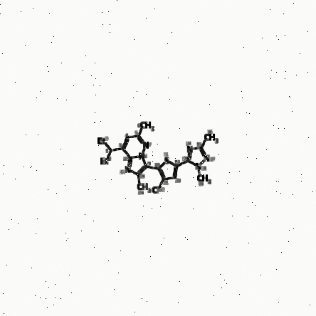 CCC(CC)c1cc(C)nn2c(-c3sc(-c4nc(C)nn4C)cc3Cl)c(C)nc12